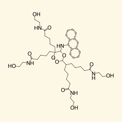 O=C(CCCCC(CCCCC(=O)NCCO)C1OOC(CCCCC(=O)NCCO)(CCCCC(=O)NCCO)C(Nc2c3ccccc3cc3ccccc23)O1)NCCO